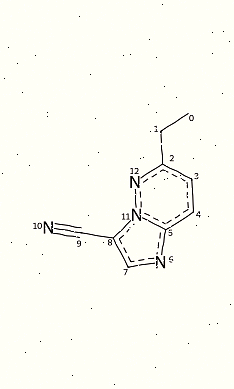 CCc1ccc2ncc(C#N)n2n1